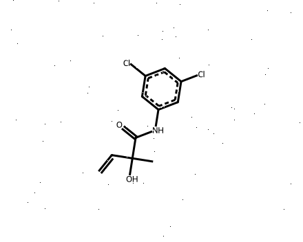 C=CC(C)(O)C(=O)Nc1cc(Cl)cc(Cl)c1